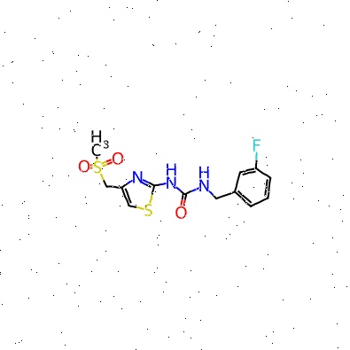 CS(=O)(=O)Cc1csc(NC(=O)NCc2cccc(F)c2)n1